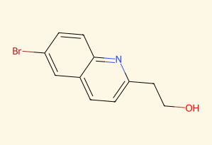 OCCc1ccc2cc(Br)ccc2n1